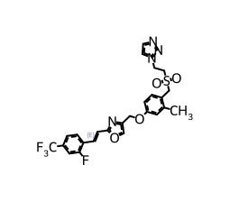 Cc1cc(OCc2coc(/C=C/c3ccc(C(F)(F)F)cc3F)n2)ccc1CS(=O)(=O)CCn1ccnn1